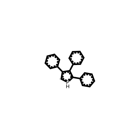 [c]1[pH]c(-c2ccccc2)c(-c2ccccc2)c1-c1ccccc1